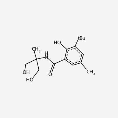 Cc1cc(C(=O)NC(C)(CO)CO)c(O)c(C(C)(C)C)c1